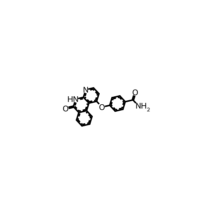 NC(=O)c1ccc(Oc2ccnc3[nH]c(=O)c4ccccc4c23)cc1